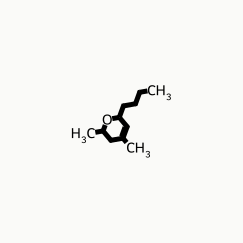 CCCCC1C=C(C)CC(C)O1